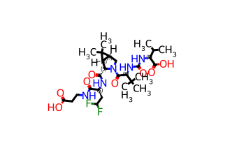 CC(C)[C@H](NC(=O)N[C@H](C(=O)N1C[C@H]2[C@@H]([C@H]1C(=O)N[C@@H](CC(F)F)C(=O)NCCC(=O)O)C2(C)C)C(C)(C)C)C(=O)O